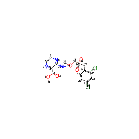 COC(=O)c1nccnc1NCOCS(=O)(=O)Cc1ccc(Cl)cc1Cl